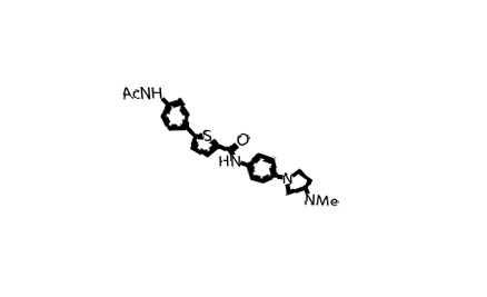 CNC1CCN(c2ccc(NC(=O)c3ccc(-c4ccc(NC(C)=O)cc4)s3)cc2)C1